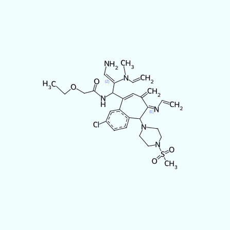 C=C/N=C1\C(=C)C=C(C(NC(=O)COCC)/C(=C/N)N(C)C=C)c2cc(Cl)ccc2C1N1CCN(S(C)(=O)=O)CC1